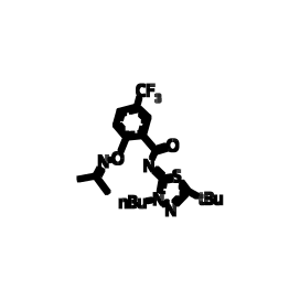 CCCCn1nc(C(C)(C)C)sc1=NC(=O)c1cc(C(F)(F)F)ccc1ON=C(C)C